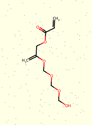 C=CC(=O)OCC(=C)OCOCOCO